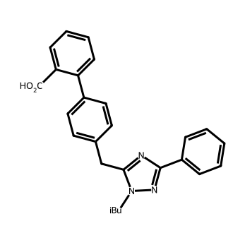 CCC(C)n1nc(-c2ccccc2)nc1Cc1ccc(-c2ccccc2C(=O)O)cc1